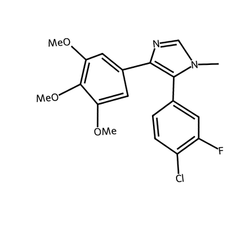 COc1cc(-c2ncn(C)c2-c2ccc(Cl)c(F)c2)cc(OC)c1OC